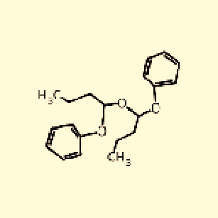 CCCC(Oc1ccccc1)OC(CCC)Oc1ccccc1